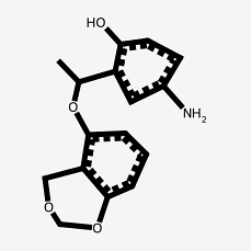 CC(Oc1cccc2c1COCO2)c1cc(N)ccc1O